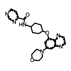 O=C(NC1CCC(Oc2cc(N3CCOCC3)cc3nccnc23)CC1)c1ccncn1